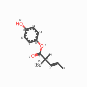 CC=CC(C)(C(=O)Oc1ccc(O)cc1)C(C)(C)C